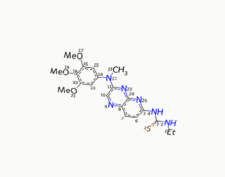 CCNC(=S)Nc1ccc2ncc(N(C)c3cc(OC)c(OC)c(OC)c3)nc2n1